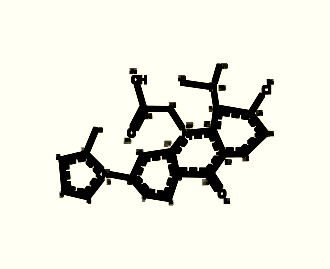 Cc1cccn1-c1ccc2c(=O)c3ccc(Cl)c(N(C)C)c3n(CC(=O)O)c2c1